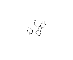 Cc1nccc2c3cc(Cl)cc(-c4cncnc4)c3n(CC3CC3)c12